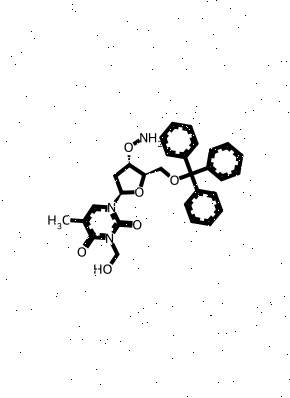 Cc1cn([C@H]2C[C@H](ON)[C@@H](COC(c3ccccc3)(c3ccccc3)c3ccccc3)O2)c(=O)n(CO)c1=O